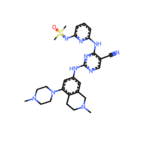 CN1CCN(c2cc(Nc3ncc(C#N)c(Nc4cccc(N=S(C)(C)=O)n4)n3)cc3c2CCN(C)C3)CC1